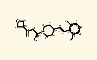 Cc1cccc(C)c1/C=C/C1CCN(C(=O)CNC2COC2)CC1